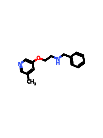 Cc1cncc(OCCNCc2ccccc2)c1